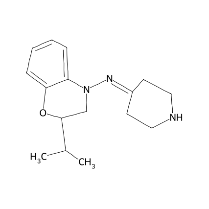 CC(C)C1CN(N=C2CCNCC2)c2ccccc2O1